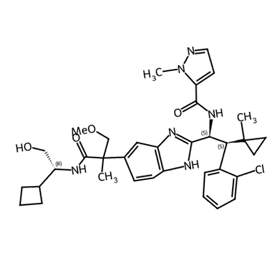 COCC(C)(C(=O)N[C@@H](CO)C1CCC1)c1ccc2[nH]c([C@@H](NC(=O)c3ccnn3C)[C@H](c3ccccc3Cl)C3(C)CC3)nc2c1